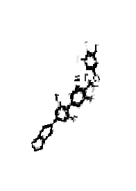 Fc1cc(OC(F)(F)c2c(F)cc(-c3c(F)cc(C4CC5CCCC5C4)cc3F)cc2F)cc(F)c1F